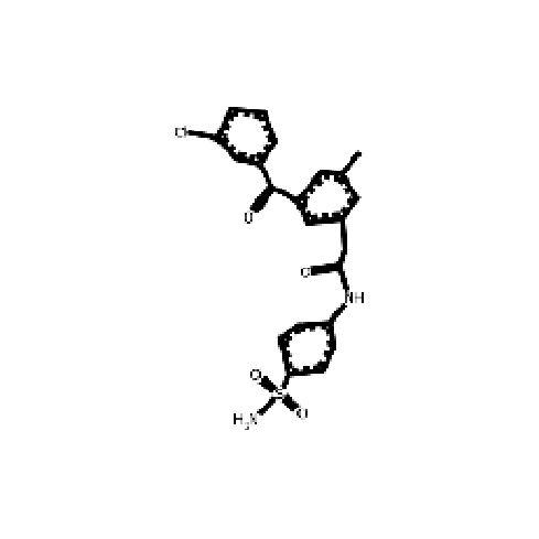 Cc1cc(CC(=O)Nc2ccc(S(N)(=O)=O)cc2)cc(C(=O)c2cccc(Cl)c2)c1